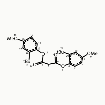 COc1ccc(OC(=O)CC(=O)Oc2ccc(OC)cc2C(C)(C)C)c(C(C)(C)C)c1